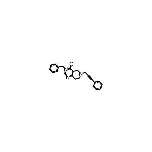 O=c1c2c(ncn1Cc1ccccc1)CCN(CC#Cc1ccccc1)C2